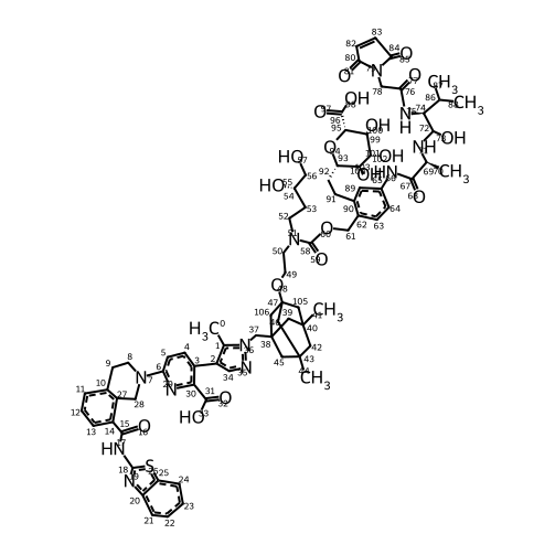 Cc1c(-c2ccc(N3CCc4cccc(C(=O)Nc5nc6ccccc6s5)c4C3)nc2C(=O)O)cnn1CC12CC3(C)CC(C)(C1)CC(OCCN(CC[C@H](O)CO)C(=O)OCc1ccc(NC(=O)[C@H](C)NC(O)[C@@H](NC(=O)CN4C(=O)C=CC4=O)C(C)C)cc1CC[C@@H]1O[C@H](C(=O)O)[C@@H](O)[C@H](O)[C@H]1O)(C3)C2